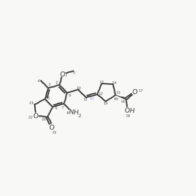 COc1c(C)c2c(c(N)c1C/C=C1\CC[C@@H](C(=O)O)C1)C(=O)OC2